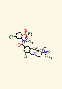 CCS(=O)(=O)c1ccc(Cl)cc1N(C)C(=O)c1cc(Cl)c(CN2CCC([N+](C)(C)[O-])CC2)c(C(F)(F)F)c1